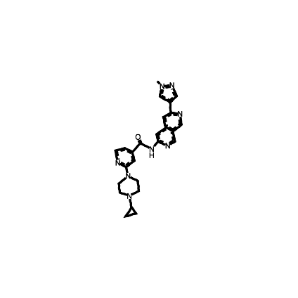 Cn1cc(-c2cc3cc(NC(=O)c4ccnc(N5CCN(C6CC6)CC5)c4)ncc3cn2)cn1